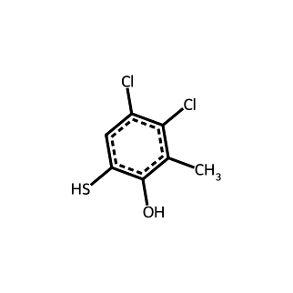 Cc1c(O)c(S)cc(Cl)c1Cl